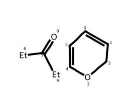 C1=CCOC=C1.CCC(=O)CC